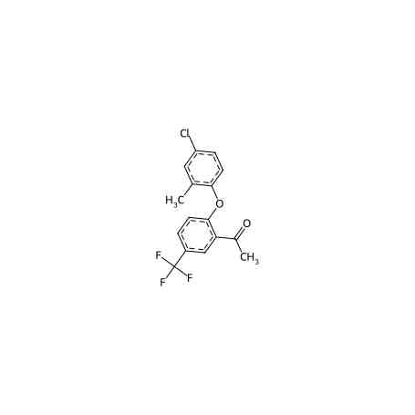 CC(=O)c1cc(C(F)(F)F)ccc1Oc1ccc(Cl)cc1C